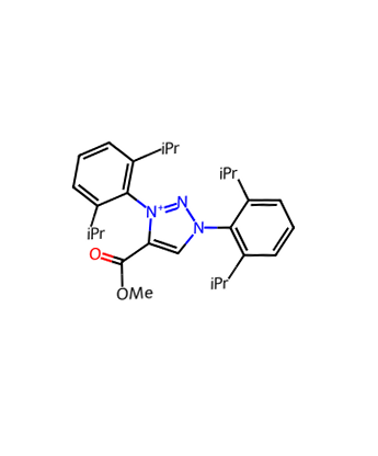 COC(=O)c1cn(-c2c(C(C)C)cccc2C(C)C)n[n+]1-c1c(C(C)C)cccc1C(C)C